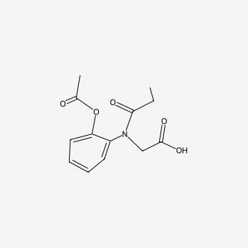 CCC(=O)N(CC(=O)O)c1ccccc1OC(C)=O